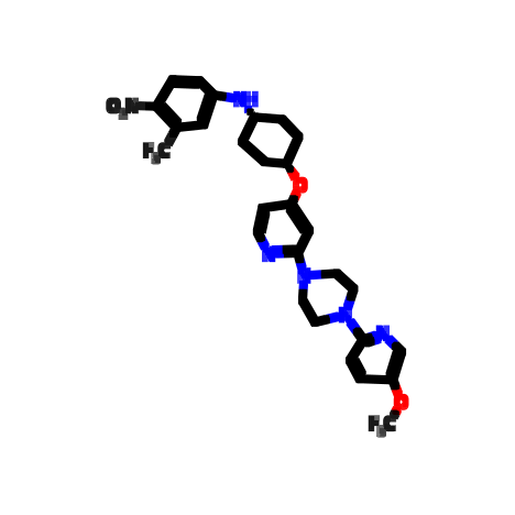 O=[N+]([O-])c1ccc(N[C@H]2CC[C@H](Oc3ccnc(N4CCN(c5ccc(OC(F)(F)F)cn5)CC4)c3)CC2)cc1C(F)(F)F